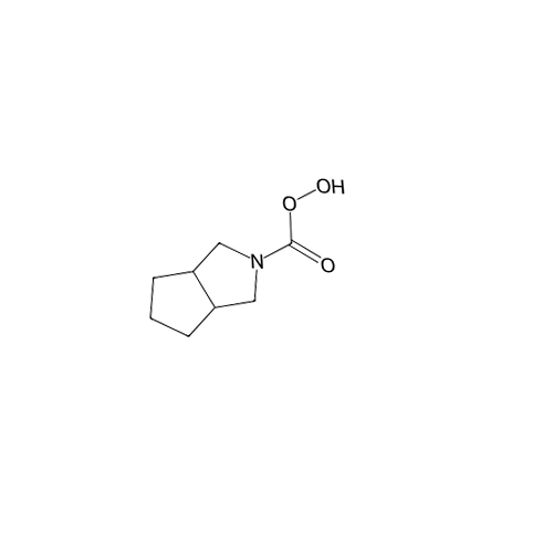 O=C(OO)N1CC2CCCC2C1